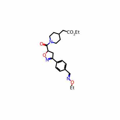 CCON=Cc1ccc(C2=NOC(C(=O)N3CCC(CC(=O)OCC)CC3)C2)cc1